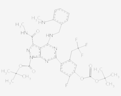 CNC(=O)c1nn(C(=O)OC(C)(C)C)c2nc(-c3cc(F)c(OC(=O)OC(C)(C)C)cc3CC(F)(F)F)nc(NCc3ccccc3NC)c12